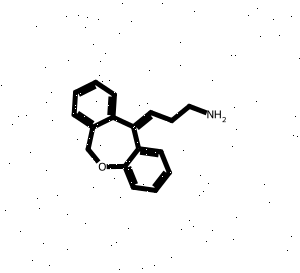 NCC/C=C1/c2ccccc2COc2ccccc21